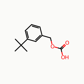 CC(C)(C)c1cccc(COC(=O)O)c1